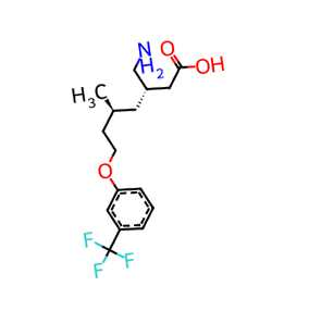 C[C@H](CCOc1cccc(C(F)(F)F)c1)C[C@H](CN)CC(=O)O